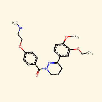 CCOc1cc(C2=NN(C(=O)c3ccc(OCCNC)cc3)CCC2)ccc1OC